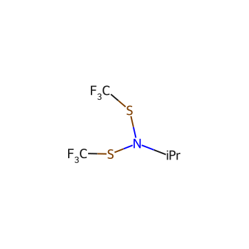 CC(C)N(SC(F)(F)F)SC(F)(F)F